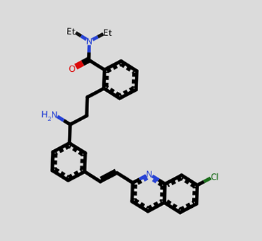 CCN(CC)C(=O)c1ccccc1CCC(N)c1cccc(/C=C/c2ccc3ccc(Cl)cc3n2)c1